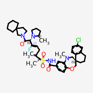 C[C@@H]1CCCN1[C@@H](C(=O)N1CCC2(CCCCC2)C1)/C(F)=C/C[C@H](C)[C@@H](C)S(=O)(=O)NC(=O)c1ccc2c(c1)N(C)C[C@@]1(CCCc3cc(Cl)ccc31)CO2